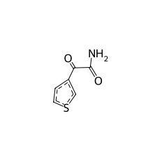 NC(=O)C(=O)c1ccsc1